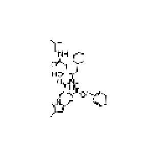 Cc1cc(C)n(C[C@H](NC(=O)OCc2ccccc2)C(=O)N[C@@H](CC2CCCCC2)[C@@H](O)CC(=O)NCC(C)C)n1